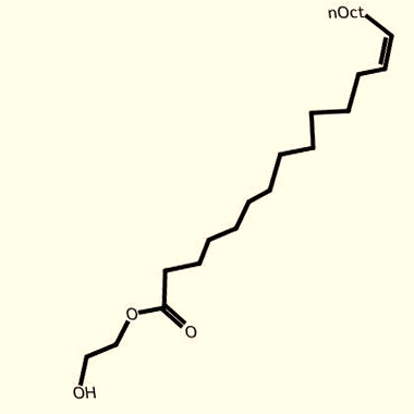 CCCCCCCC/C=C\CCCCCCCCCCCC(=O)OCCO